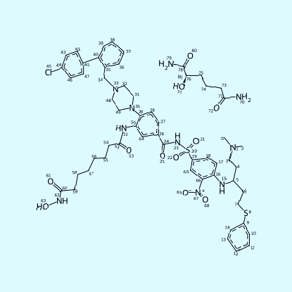 CN(C)CCC(CCSc1ccccc1)Nc1ccc(S(=O)(=O)NC(=O)c2ccc(N3CCN(Cc4ccccc4-c4ccc(Cl)cc4)CC3)c(NC(=O)CCCCCCC(=O)NO)c2)cc1[N+](=O)[O-].NC(=O)CCC[C@@H](O)C(N)=O